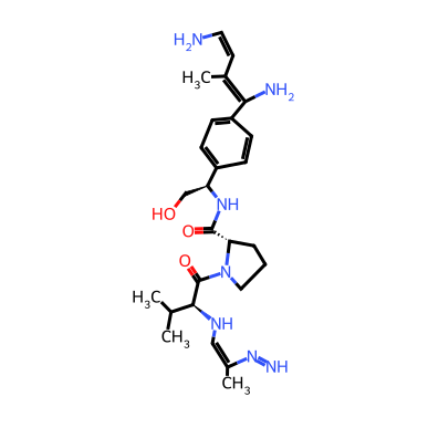 C/C(=C/N[C@H](C(=O)N1CCC[C@H]1C(=O)N[C@@H](CO)c1ccc(/C(N)=C(C)/C=C\N)cc1)C(C)C)N=N